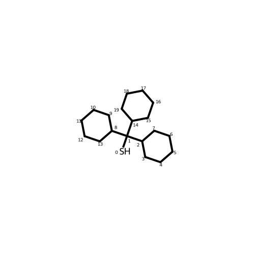 SC(C1CCCCC1)(C1CCCCC1)C1CCCCC1